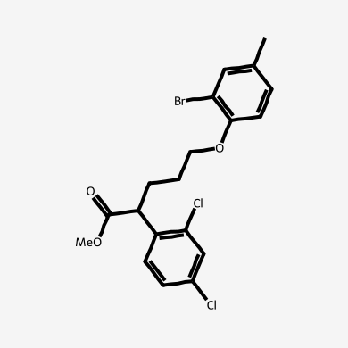 COC(=O)C(CCCOc1ccc(C)cc1Br)c1ccc(Cl)cc1Cl